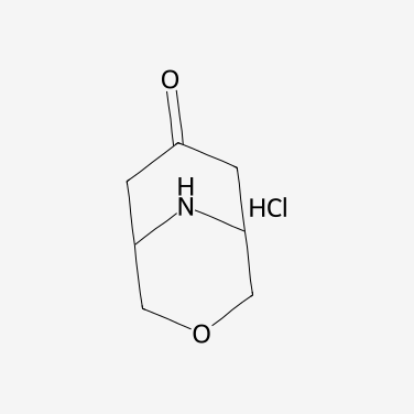 Cl.O=C1CC2COCC(C1)N2